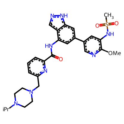 COc1ncc(-c2cc(NC(=O)c3cccc(CN4CCN(C(C)C)CC4)n3)c3cn[nH]c3c2)cc1NS(C)(=O)=O